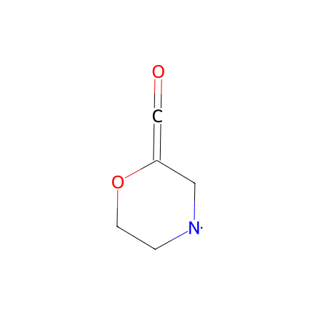 O=C=C1C[N]CCO1